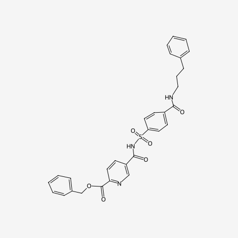 O=C(NCCCc1ccccc1)c1ccc(S(=O)(=O)NC(=O)c2ccc(C(=O)OCc3ccccc3)nc2)cc1